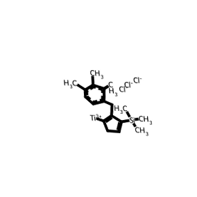 Cc1ccc(CC2=[C]([Ti+3])CC=C2[Si](C)(C)C)c(C)c1C.[Cl-].[Cl-].[Cl-]